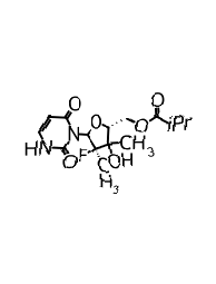 CC(C)C(=O)OC[C@H]1OC(n2c(=O)cc[nH]c2=O)[C@](C)(F)C1(C)O